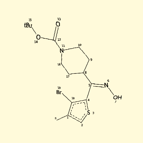 Cc1csc(C(=NO)C2CCN(C(=O)OC(C)(C)C)CC2)c1Br